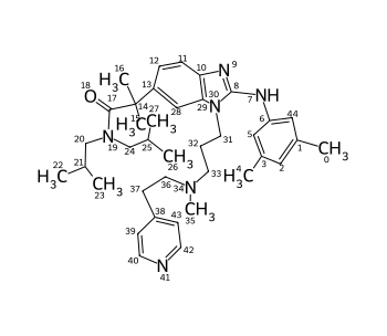 Cc1cc(C)cc(Nc2nc3ccc(C(C)(C)C(=O)N(CC(C)C)CC(C)C)cc3n2CCCN(C)CCc2ccncc2)c1